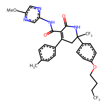 COc1cnc(NC(=O)C2=C(c3ccc(C)cc3)CC(c3ccc(OCCCC(F)(F)F)cc3)(C(F)(F)F)NC2=O)cn1